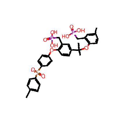 Cc1ccc(S(=O)(=O)c2ccc(Oc3ccc(C(C)(C)Oc4ccc(C)cc4CP(=O)(O)O)cc3CP(=O)(O)O)cc2)cc1